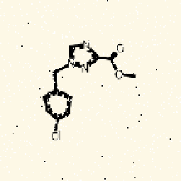 COC(=O)c1ncn(Cc2ccc(Cl)cc2)n1